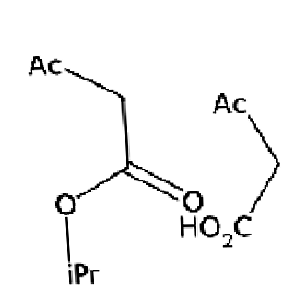 CC(=O)CC(=O)O.CC(=O)CC(=O)OC(C)C